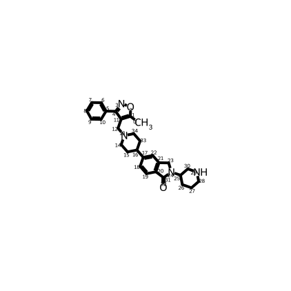 Cc1onc(-c2ccccc2)c1CN1CCC(c2ccc3c(c2)CN(C2CCCNC2)C3=O)CC1